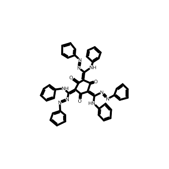 O=C1C(=C(/N=N/c2ccccc2)Nc2ccccc2)C(=O)C(=C(/N=N/c2ccccc2)Nc2ccccc2)C(=O)C1=C(/N=N/c1ccccc1)Nc1ccccc1